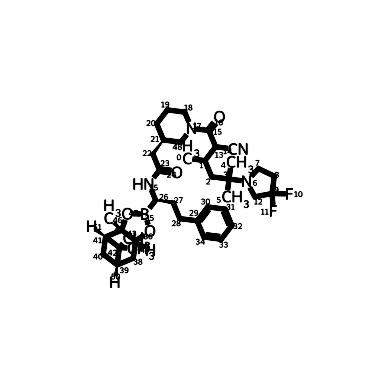 CC(CC(C)(C)N1CCC(F)(F)C1)C(C#N)C(=O)N1CCC[C@H](CC(=O)N[C@@H](CCc2ccccc2)B2O[C@@H]3C[C@@H]4C[C@@H](C4(C)C)[C@]3(C)O2)C1